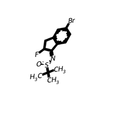 CC(C)(C)[S@+]([O-])N=C1c2ccc(Br)cc2CC1F